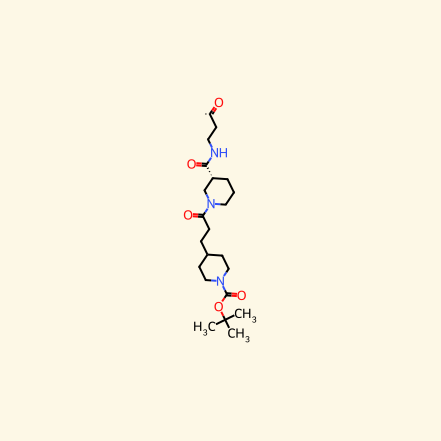 CC(C)(C)OC(=O)N1CCC(CCC(=O)N2CCC[C@@H](C(=O)NCC[C]=O)C2)CC1